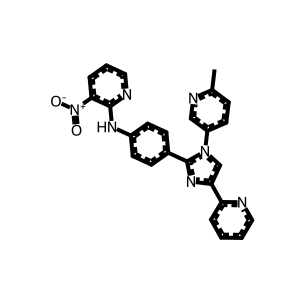 Cc1ccc(-n2cc(-c3ccccn3)nc2-c2ccc(Nc3ncccc3[N+](=O)[O-])cc2)cn1